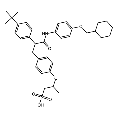 CC(CS(=O)(=O)O)Oc1ccc(CC(C(=O)Nc2ccc(OCC3CCCCC3)cc2)c2ccc(C(C)(C)C)cc2)cc1